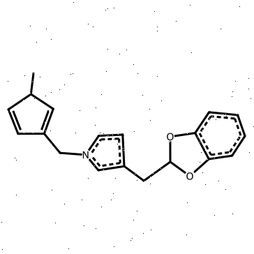 CC1C=CC(Cn2ccc(CC3Oc4ccccc4O3)c2)=C1